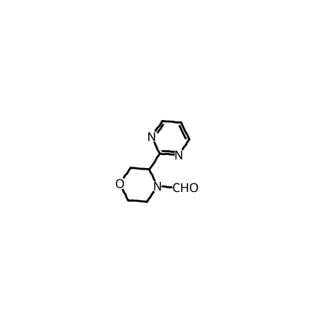 O=CN1CCOCC1c1ncccn1